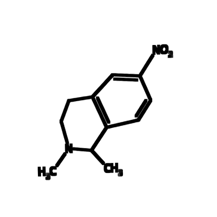 CC1c2ccc([N+](=O)[O-])cc2CCN1C